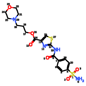 NS(=O)(=O)c1ccc(C(=O)Nc2nc(C(=O)OCCCN3CCOCC3)cs2)cc1